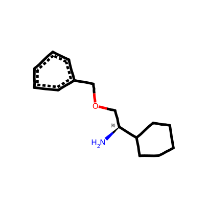 N[C@@H](COCc1ccccc1)C1CCCCC1